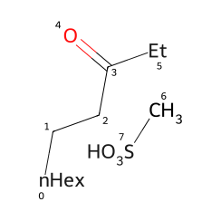 CCCCCCCCC(=O)CC.CS(=O)(=O)O